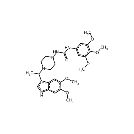 COc1cc2[nH]cc(C(C)N3CCN(NC(=O)Nc4cc(OC)c(OC)c(OC)c4)CC3)c2cc1OC